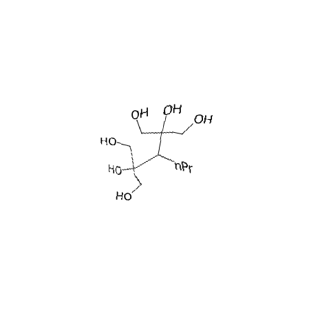 CCCC(C(O)(CO)CO)C(O)(CO)CO